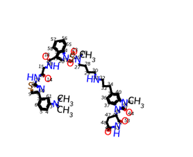 CN(C)c1cccc(-c2csc(NC(=O)CNC(=O)c3cn(S(=O)(=O)N(C)CCCCNCCCc4ccc5c(c4)n(C)c(=O)n5C4CCC(=O)NC4=O)c4ccccc34)n2)c1